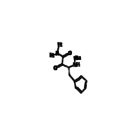 CCN(CC)C(=O)C(=O)C(Cc1ccccc1)NC(C)(C)C